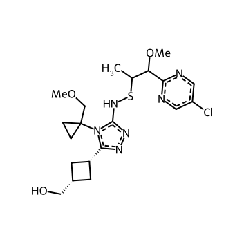 COCC1(n2c(NSC(C)C(OC)c3ncc(Cl)cn3)nnc2[C@H]2C[C@@H](CO)C2)CC1